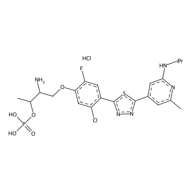 Cc1cc(-c2nnc(-c3cc(F)c(OCC(N)C(C)OP(=O)(O)O)cc3Cl)s2)cc(NC(C)C)n1.Cl